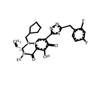 C=C[C@H]1N(CC)C(=O)c2c(O)c(=O)c(-c3nnc(Cc4ccc(F)cc4F)s3)cn2N1CC1CCCC1